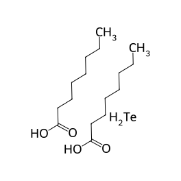 CCCCCCCC(=O)O.CCCCCCCC(=O)O.[TeH2]